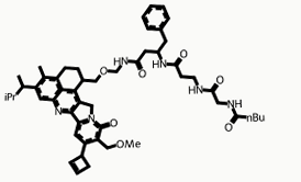 CCCCC(=O)NCC(=O)NCCC(=O)NC(CC(=O)NCOCC1CCc2c(C)c(C(C)C(C)C)cc3nc4c(c1c23)Cn1c-4cc(C2C=CC2)c(COC)c1=O)Cc1ccccc1